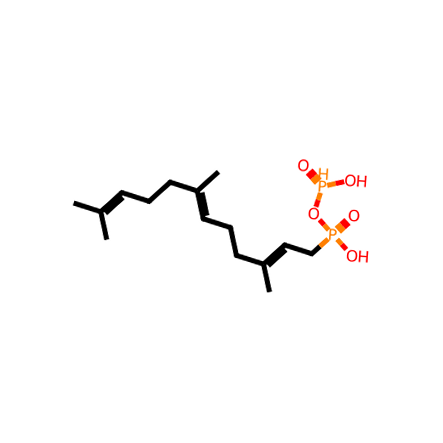 CC(C)=CCCC(C)=CCCC(C)=CCP(=O)(O)O[PH](=O)O